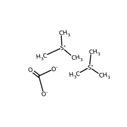 C[S+](C)C.C[S+](C)C.O=C([O-])[O-]